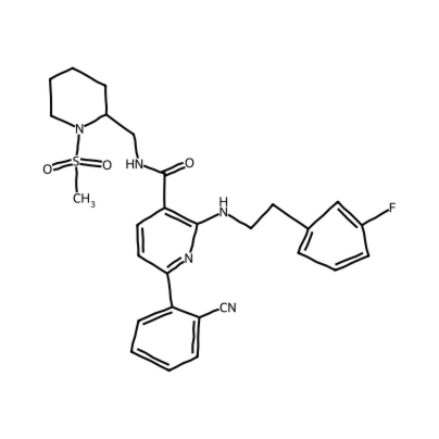 CS(=O)(=O)N1CCCCC1CNC(=O)c1ccc(-c2ccccc2C#N)nc1NCCc1cccc(F)c1